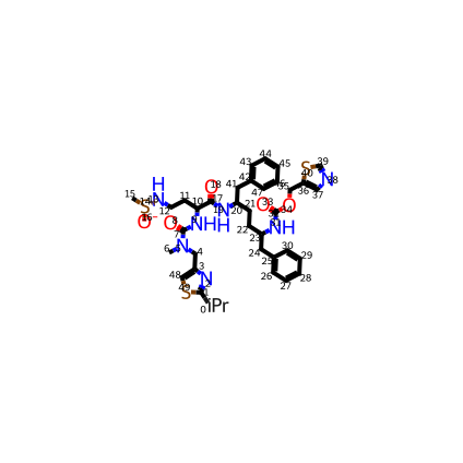 CC(C)c1nc(CN(C)C(=O)NC(CCN[S+](C)[O-])C(=O)NC(CCC(Cc2ccccc2)NC(=O)OCc2cncs2)Cc2ccccc2)cs1